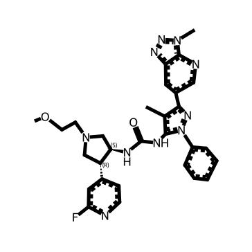 COCCN1C[C@@H](NC(=O)Nc2c(C)c(-c3cnc4c(c3)nnn4C)nn2-c2ccccc2)[C@H](c2ccnc(F)c2)C1